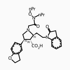 CCCON(CCC)C(=O)CN1C[C@H](c2ccc3c(c2)CCO3)[C@@H](C(=O)O)[C@@H]1CCN1C(=O)Cc2ccccc21